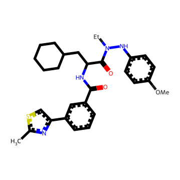 CCN(Nc1ccc(OC)cc1)C(=O)C(CC1CCCCC1)NC(=O)c1cccc(-c2csc(C)n2)c1